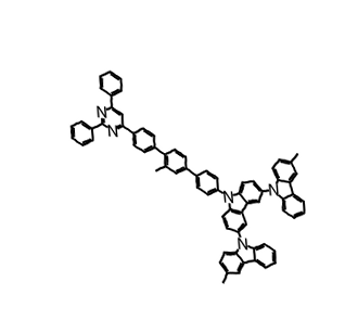 Cc1ccc2c(c1)c1ccccc1n2-c1ccc2c(c1)c1cc(-n3c4ccccc4c4cc(C)ccc43)ccc1n2-c1ccc(-c2ccc(-c3ccc(-c4cc(-c5ccccc5)nc(-c5ccccc5)n4)cc3)c(C)c2)cc1